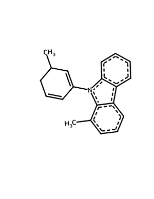 Cc1cccc2c3ccccc3n(C3=CC(C)CC=C3)c12